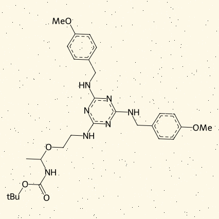 COc1ccc(CNc2nc(NCCOC(C)NC(=O)OC(C)(C)C)nc(NCc3ccc(OC)cc3)n2)cc1